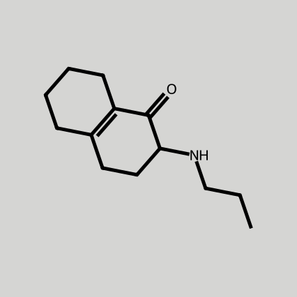 CCCNC1CCC2=C(CCCC2)C1=O